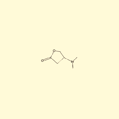 CN(C)C1COC(=O)C1